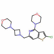 Clc1cc2c(N3CCOCC3)nc(CN3CC(N4CCOCC4)C3)cc2s1